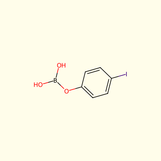 OB(O)Oc1ccc(I)cc1